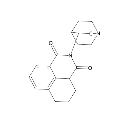 O=C1c2cccc3c2C(CCC3)C(=O)N1C1CN2CCC1CC2